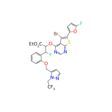 CCOC(=O)C(Oc1ncnc2sc(-c3ccc(F)o3)c(Br)c12)C(F)c1ccccc1OCc1ccnn1CC(F)(F)F